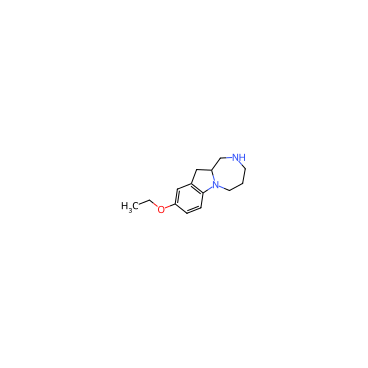 CCOc1ccc2c(c1)CC1CNCCCN21